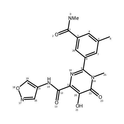 CNC(=O)c1cc(C)cc(-c2nc(C(=O)Nc3cnoc3)c(O)c(=O)n2C)c1